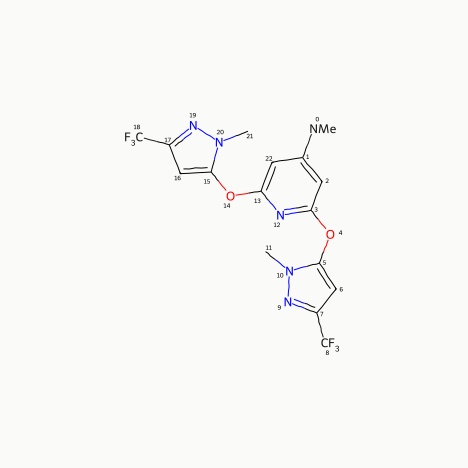 CNc1cc(Oc2cc(C(F)(F)F)nn2C)nc(Oc2cc(C(F)(F)F)nn2C)c1